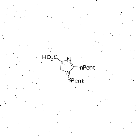 CCCCCc1nc(C(=O)O)cn1CCCCC